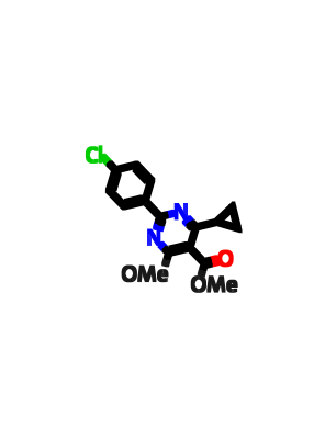 COC(=O)c1c(OC)nc(-c2ccc(Cl)cc2)nc1C1CC1